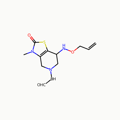 C=CCONC1CN(BC=O)Cc2c1sc(=O)n2C